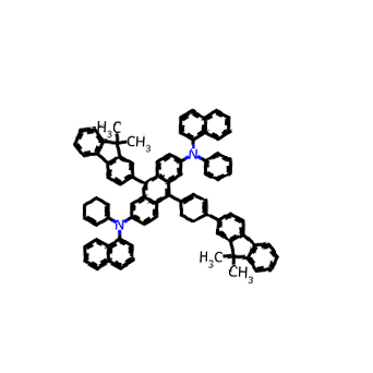 CC1(C)c2ccccc2-c2ccc(C3=CC=C(c4c5cc(N(c6ccccc6)c6cccc7ccccc67)ccc5c(-c5ccc6c(c5)C(C)(C)c5ccccc5-6)c5cc(N(C6=CCCC=C6)c6cccc7ccccc67)ccc45)CC3)cc21